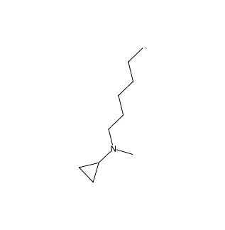 [CH2]CCCCCN(C)C1CC1